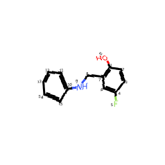 Oc1ccc(F)cc1CNc1ccccc1